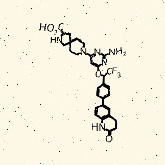 Nc1nc(OC(c2ccc(-c3ccc4c(c3)CCC(=O)N4)cc2)C(F)(F)F)cc(N2CCC3(CC2)CN[C@H](C(=O)O)C3)n1